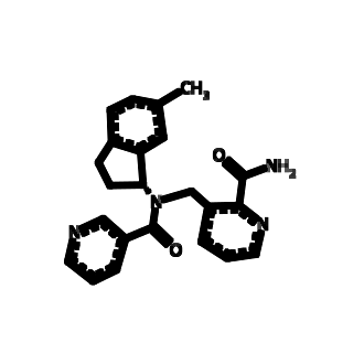 Cc1ccc2c(c1)[C@H](N(Cc1cccnc1C(N)=O)C(=O)c1cccnc1)CC2